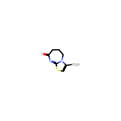 CCOC(=O)C1=CSC2=NC(=O)CCCN12